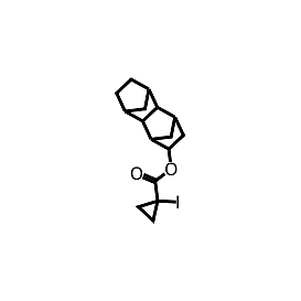 O=C(OC1CC2CC1C1C3CCC(C3)C21)C1(I)CC1